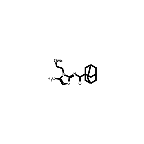 COCCn1c(C)csc1=NC(=O)C12CC3CC(CC(C3)C1)C2